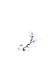 CN1CCN(c2ccnc3[nH]c(-c4cc(-c5cn[nH]c5)[nH]n4)cc23)CC1